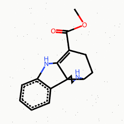 COC(=O)C1=C2Nc3ccccc3C23CCNC3CC1